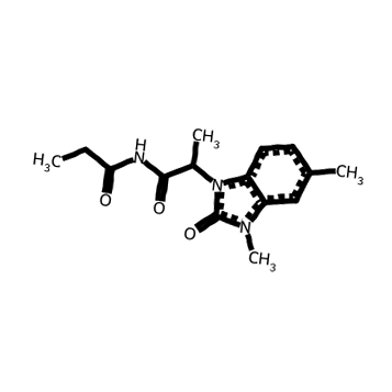 CCC(=O)NC(=O)C(C)n1c(=O)n(C)c2cc(C)ccc21